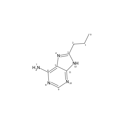 CCCc1nc2c(N)ncnc2[nH]1